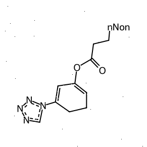 CCCCCCCCCCCC(=O)OC1=CCCC(n2cnnn2)=C1